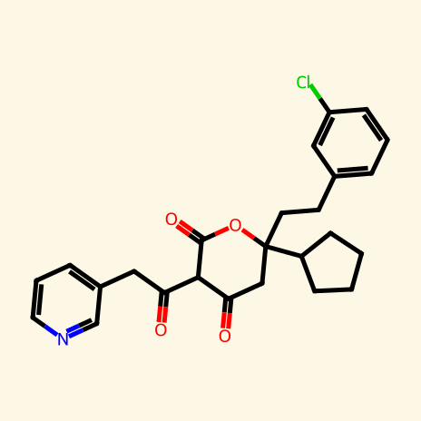 O=C(Cc1cccnc1)C1C(=O)CC(CCc2cccc(Cl)c2)(C2CCCC2)OC1=O